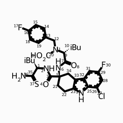 CC[C@H](C)C(NC(=O)[C@@]1(NC(=O)C([C@@H](C)CC)N(Cc2ccc(F)cc2)C(=O)O)CCc2[nH]c3c(Cl)cc(F)cc3c2C1)C(N)=S